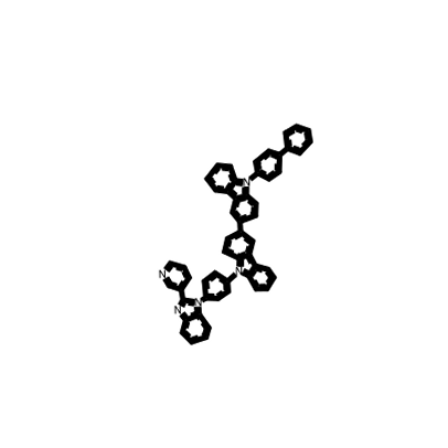 c1ccc(-c2ccc(-n3c4ccccc4c4cc(-c5ccc6c(c5)c5ccccc5n6-c5ccc(-n6c(-c7cccnc7)nc7ccccc76)cc5)ccc43)cc2)cc1